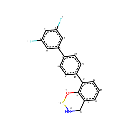 Fc1cc(F)cc(-c2ccc(-c3cccc4c3OSNC4)cc2)c1